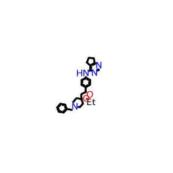 CCOC1(CC(=O)c2ccc(Nc3ncnc4c3CCC4)cc2)CCN(Cc2ccccc2)CC1